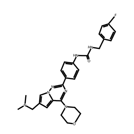 CN(C)Cc1cc2c(N3CCOCC3)nc(-c3ccc(NC(=O)NCc4ccc(F)cc4)cc3)nn2c1